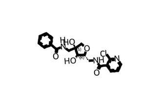 O=C(NC[C@]1(O)CO[C@H](CNC(=O)c2cccnc2Cl)[C@H]1O)c1ccccc1